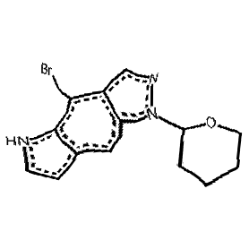 Brc1c2cnn(C3CCCCO3)c2cc2cc[nH]c12